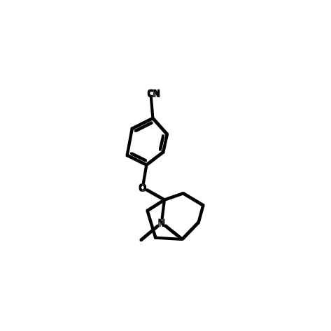 CN1C2CCCC1(Oc1ccc(C#N)cc1)CC2